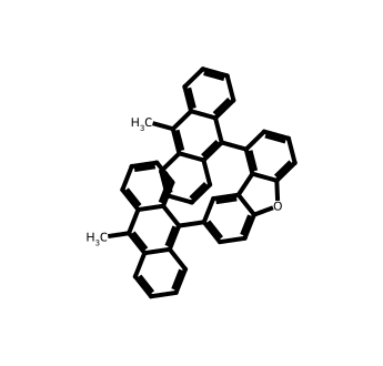 Cc1c2ccccc2c(-c2ccc3oc4cccc(-c5c6ccccc6c(C)c6ccccc56)c4c3c2)c2ccccc12